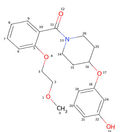 COCCOc1ccccc1C(=O)N1CCC(Oc2cccc(O)c2)CC1